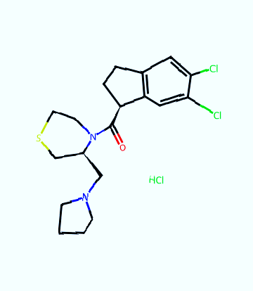 Cl.O=C([C@H]1CCc2cc(Cl)c(Cl)cc21)N1CCSC[C@@H]1CN1CCCC1